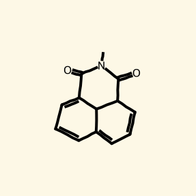 CN1C(=O)C2=CC=CC3=CC=CC(C1=O)C32